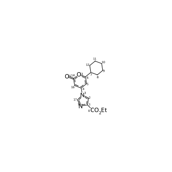 CCOC(=O)c1cn(-c2cc(C3CCCCC3)oc(=O)c2)cn1